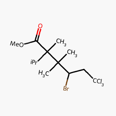 COC(=O)C(C)(C(C)C)C(C)(C)C(Br)CC(Cl)(Cl)Cl